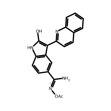 CC(=O)O/N=C(\N)c1ccc2[nH]c(O)c(-c3ccc4ccccc4n3)c2c1